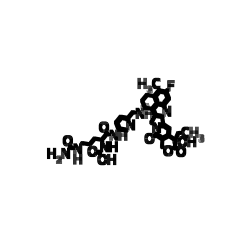 CC[C@@]1(O)C(=O)OCc2c1cc1n(c2=O)Cc2c-1nc1cc(F)c(C)c3c1c2[C@@H](NCc1ccc(NC(=O)C(CCCNC(N)=O)NC(=O)O)cn1)CC3